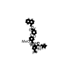 COc1cc(F)c(OC2CCC(C)(C(=O)OCc3cccc4ccccc34)CC2)cc1C(=O)N[C@@H]1[C@H]2CC(=C(F)F)[C@H](C2)[C@@H]1C(=O)NCC1(C)CCC1